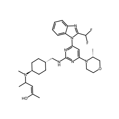 C/C(O)=C/C(C)N(C)[C@H]1CC[C@H](CNc2nc(N3CCOC[C@H]3C)cc(-n3c(C(F)F)nc4ccccc43)n2)CC1